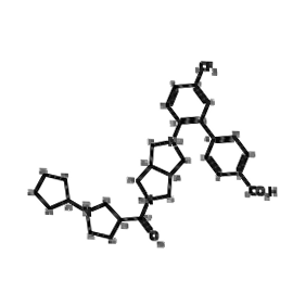 O=C(O)c1ccc(-c2cc(C(F)(F)F)ccc2N2CC3CN(C(=O)C4CCN(C5CCCC5)C4)CC3C2)cc1